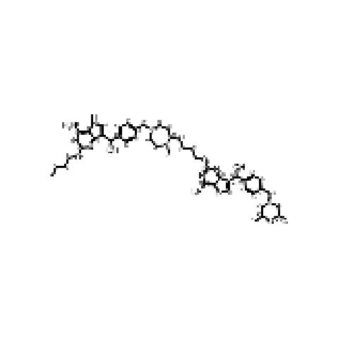 CCCCOc1nc(N)c2[nH]cc(C(O)c3ccc(CN4CCC(CCCCOc5nc(N)c6[nH]cc(C(O)c7ccc(CN8CC(C)OC(C)C8)cc7)c6n5)N(C)CC4)cc3)c2n1